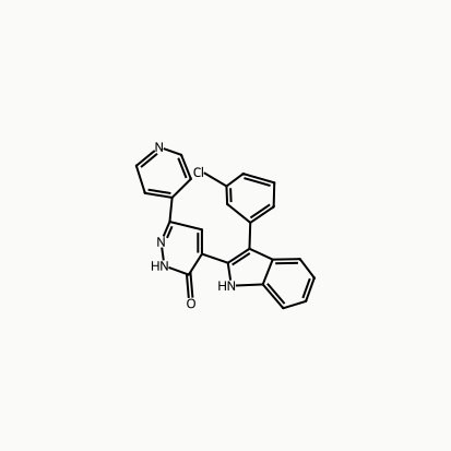 O=c1[nH]nc(-c2ccncc2)cc1-c1[nH]c2ccccc2c1-c1cccc(Cl)c1